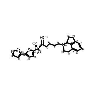 Cl.O=S(=O)(NCCCCN1CCc2cccc3c2C1CC3)c1ccc(-c2ccno2)s1